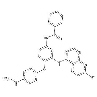 CC(C)c1ccc2c(Nc3cc(NC(=O)c4ccccc4)ccc3Oc3ccc(NC(=O)O)cc3)ncnc2n1